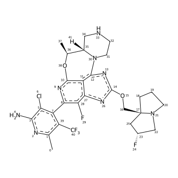 Cc1nc(N)c(Cl)c(-c2nc3c4c(nc(OC[C@@]56CCCN5C[C@H](F)C6)nc4c2F)N2CCNC[C@H]2[C@H](C)O3)c1C(F)(F)F